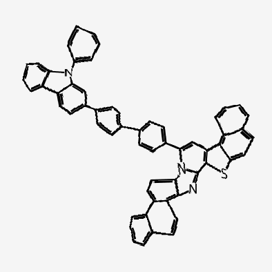 c1ccc(-n2c3ccccc3c3ccc(-c4ccc(-c5ccc(-c6cc7c(sc8ccc9ccccc9c87)c7nc8c9ccc%10ccccc%10c9ccc8n67)cc5)cc4)cc32)cc1